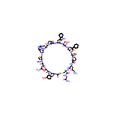 C=C[C@H]1C(=O)N[C@@H](Cc2cnc[nH]2)C(=O)N[C@@H](CC(C)C)C(=O)N2CCC[C@H]2C(=O)N[C@@H](Cc2c[nH]c3ccccc23)C(=O)N[C@@H](CO)C(=O)N[C@@H](Cc2csc3ccccc23)C(=O)N(C)[C@@H](CCCC)C(=O)N2CCC[C@@H]2C(=O)N[C@@H](CCCN)C(=O)N[C@H](C(=O)NCC(N)=O)CSCC(=O)N[C@@H](Cc2ccc(O)cc2)C(=O)N(C)[C@@H](C)C(=O)N[C@@H](CC(N)=O)C(=O)N1CCC